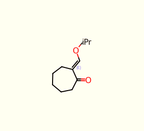 CC(C)O/C=C1\CCCCCC1=O